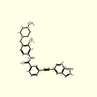 CN1CCN(Cc2ccc(NC(=O)c3cccc(C#Cc4cnc5[nH]ncc5c4)c3)cc2C(F)(F)F)CC1